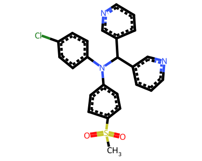 CS(=O)(=O)c1ccc(N(c2ccc(Cl)cc2)C(c2cccnc2)c2cccnc2)cc1